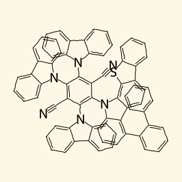 N#Cc1c(-n2c3ccccc3c3ccccc32)c(-n2c3ccccc3c3ccccc32)c(C#N)c(-n2c3cccc(-c4ccccc4-c4ccccc4)c3c3ccc4c5ccccc5sc4c32)c1-n1c2ccccc2c2ccccc21